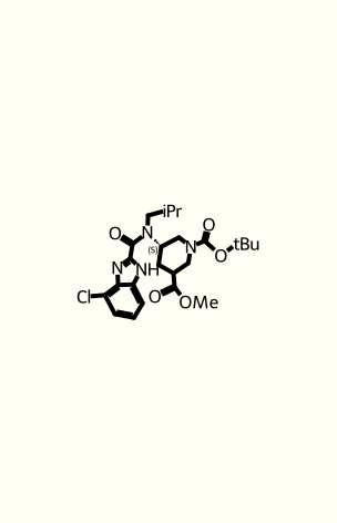 COC(=O)C1C[C@H](N(CC(C)C)C(=O)c2nc3c(Cl)cccc3[nH]2)CN(C(=O)OC(C)(C)C)C1